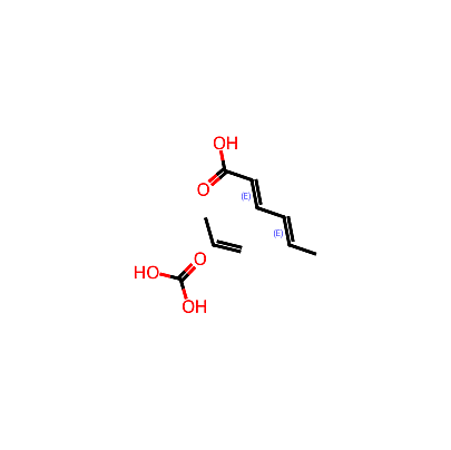 C/C=C/C=C/C(=O)O.C=CC.O=C(O)O